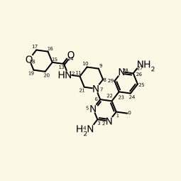 Cc1nc(N)nc(N2CCCC(NC(=O)C3CCOCC3)C2)c1-c1ccc(N)nc1